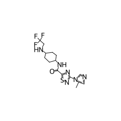 Cc1cncn1-c1nsc(C(=O)NC2CCC(NCC(F)(F)F)CC2)n1